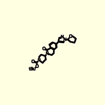 CC(C)(C)OC(=O)N1CCC(N2CCc3cc(-c4cnn(C5CCCCO5)c4)ccc3C2=O)CC1